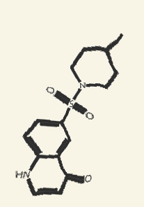 CC1CCN(S(=O)(=O)c2ccc3[nH]ccc(=O)c3c2)CC1